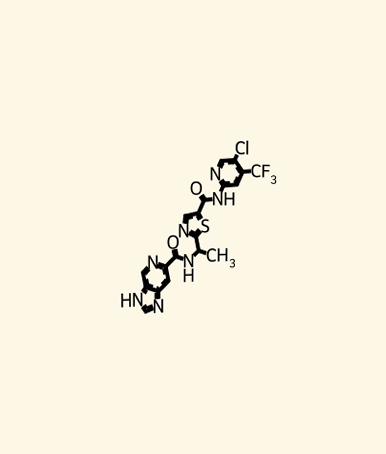 CC(NC(=O)c1cc2nc[nH]c2cn1)c1ncc(C(=O)Nc2cc(C(F)(F)F)c(Cl)cn2)s1